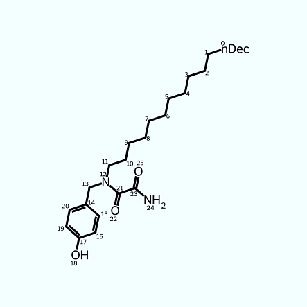 CCCCCCCCCCCCCCCCCCCCCN(Cc1ccc(O)cc1)C(=O)C(N)=O